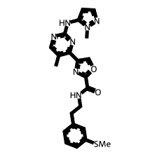 CSc1cccc(CCNC(=O)c2nc(-c3nc(Nc4ccnn4C)ncc3C)co2)c1